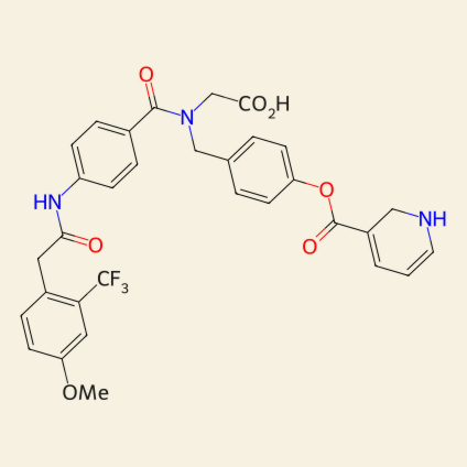 COc1ccc(CC(=O)Nc2ccc(C(=O)N(CC(=O)O)Cc3ccc(OC(=O)C4=CC=CNC4)cc3)cc2)c(C(F)(F)F)c1